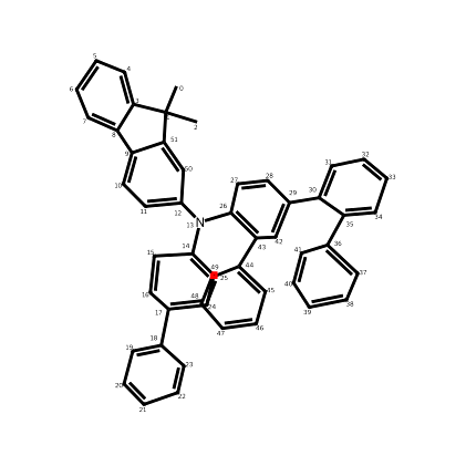 CC1(C)c2ccccc2-c2ccc(N(c3ccc(-c4ccccc4)cc3)c3ccc(-c4ccccc4-c4ccccc4)cc3-c3ccccc3)cc21